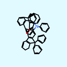 C1#CC2=C(C=CC1)c1cccc3c1-c1c(cccc1N(c1ccccc1)c1ccc4c(c1)C(c1ccccc1)(c1ccccc1)C1=C4C=CCC1)-c1cccc-3c12